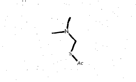 CC(=O)SCN(C)C